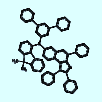 CC1(C)c2ccccc2-c2c(N(c3cc(-c4ccccc4)cc(-c4ccccc4)c3)c3ccc4c(c3)cc(-c3ccccc3)n3nc(-c5ccccc5)c(-c5ccccc5)c43)cccc21